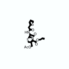 C=CCOC(=O)C1=C(COC(C)=O)CSC2C(NC(=O)Cc3cccs3)C(=O)N12